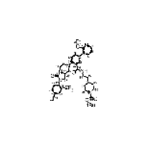 CCOc1ncccc1-c1ccc(N2CCN3C(=O)N(c4ccc(Cl)cc4C(F)(F)F)C[C@@H]3C2)c(C(=O)NCCC2CCN(C(=O)OC(C)(C)C)CC2)n1